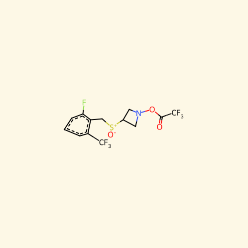 O=C(ON1CC([S+]([O-])Cc2c(F)cccc2C(F)(F)F)C1)C(F)(F)F